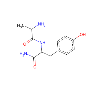 CC(N)C(=O)NC(Cc1ccc(O)cc1)C(N)=O